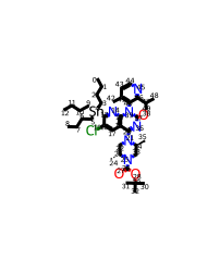 CCC[CH2][Sn]([CH2]CCC)([CH2]CCC)[c]1nc2c(cc1Cl)c(N1C[C@@H](C)N(C(=O)OC(C)(C)C)C[C@@H]1C)nc(=O)n2-c1c(C)ccnc1C(C)C